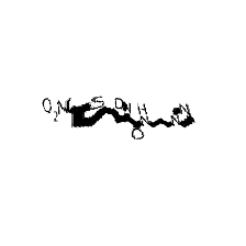 O=C(NCCCN1C=NCC1)c1cc(-c2ccc([N+](=O)[O-])s2)on1